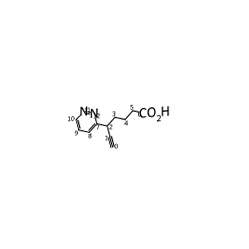 C#CC(CCCC(=O)O)c1cccnn1